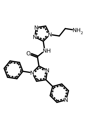 NCCn1cnnc1NC(=O)c1nc(-c2ccncc2)cn1-c1ccccc1